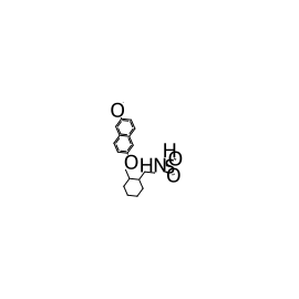 COc1ccc2cc(OCC3CCCCC3CCN[SH](=O)=O)ccc2c1